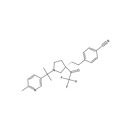 Cc1ccc(C(C)(C)N2CC[C@@](CCc3ccc(C#N)cc3)(C(=O)C(F)(F)F)C2)cn1